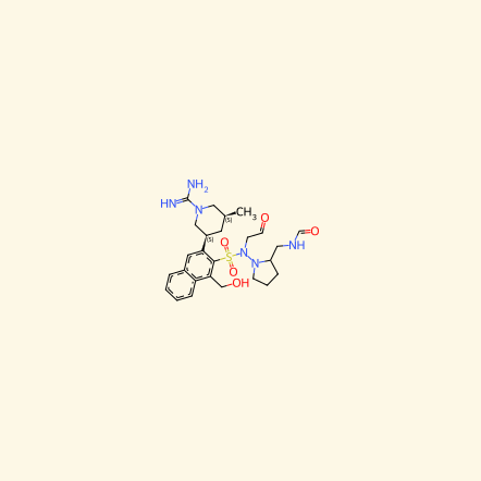 C[C@H]1C[C@@H](c2cc3ccccc3c(CO)c2S(=O)(=O)N(CC=O)N2CCCC2CNC=O)CN(C(=N)N)C1